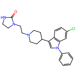 O=C1NCCN1CCN1CCC(c2cn(-c3ccccc3)c3cc(Cl)ccc23)CC1